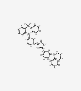 CC1(C)c2ccccc2N(c2cccc(-c3nsc(-c4ccc5c(c4)-c4cccc6cccc-5c46)n3)c2)c2ccccc21